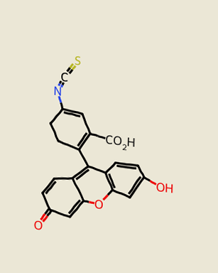 O=C(O)C1=C(c2c3ccc(=O)cc-3oc3cc(O)ccc23)CCC(N=C=S)=C1